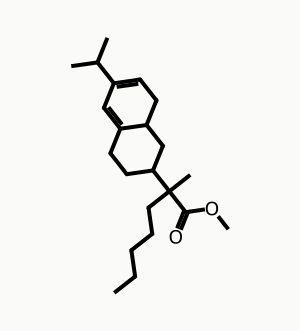 CCCCCC(C)(C(=O)OC)C1CCC2=CC(C(C)C)=CCC2C1